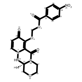 O=C(OCOc1c2n(ccc1=O)N[C@@H]1COCCN1C2=O)c1ccc([N+](=O)[O-])cc1